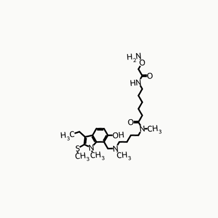 CCc1c(SC)n(C)c2c(CN(C)CCCCN(C)C(=O)CCCCCNC(=O)CON)c(O)ccc12